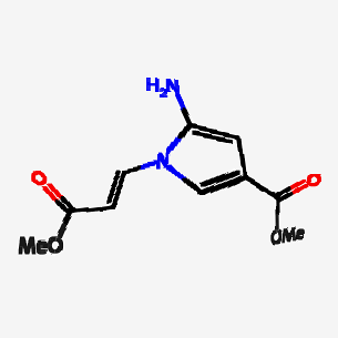 COC(=O)/C=C/n1cc(C(=O)OC)cc1N